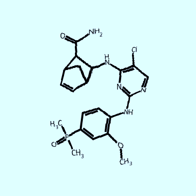 COc1cc(P(C)(C)=O)ccc1Nc1ncc(Cl)c(NC2C3C=CC(C3)C2C(N)=O)n1